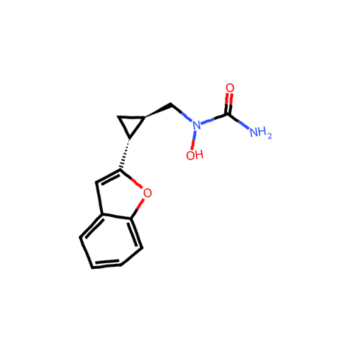 NC(=O)N(O)C[C@@H]1C[C@H]1c1cc2ccccc2o1